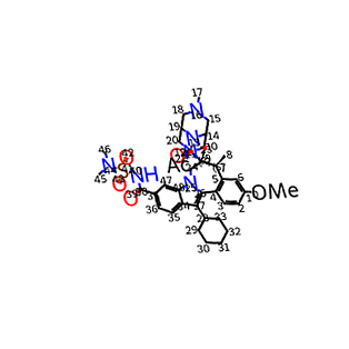 COc1ccc2c(c1)[C@H](C)[C@@](C)(C(=O)N1C3CN(C)CC1CN(C(C)=O)C3)Cn1c-2c(C2CCCCC2)c2ccc(C(=O)NS(=O)(=O)N(C)C)cc21